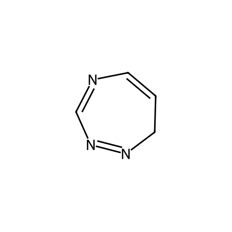 C1=CN=CN=NC1